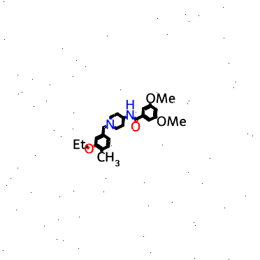 CCOc1cc(CN2CCC(NC(=O)c3cc(OC)cc(OC)c3)CC2)ccc1C